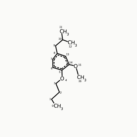 CCCCOc1ccc(CC(C)C)cc1OC